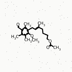 COc1c(C)c(C)c(C=O)c(C)c1C/C=C(\C)CCCCOC(C)=O